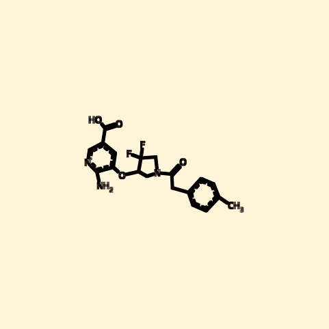 Cc1ccc(CC(=O)N2CC(Oc3cc(C(=O)O)cnc3N)C(F)(F)C2)cc1